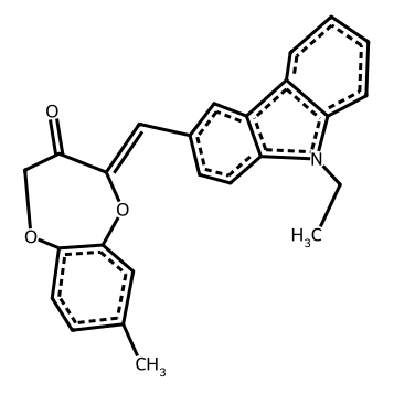 CCn1c2ccccc2c2cc(/C=C3\Oc4cc(C)ccc4OCC3=O)ccc21